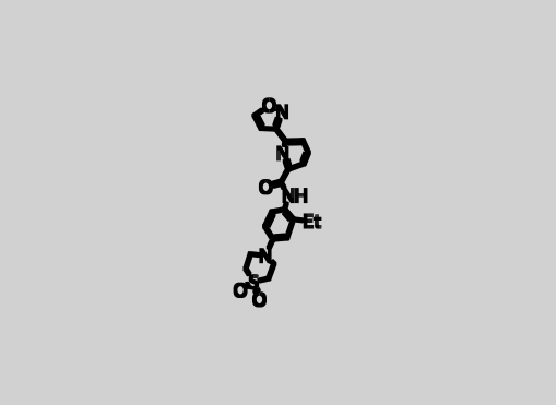 CCc1cc(N2CCS(=O)(=O)CC2)ccc1NC(=O)c1cccc(-c2ccon2)n1